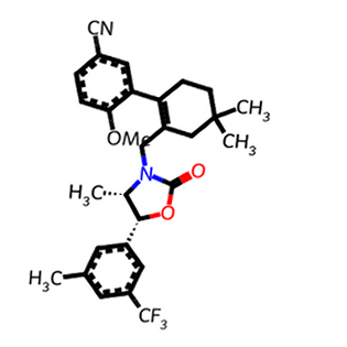 COc1ccc(C#N)cc1C1=C(CN2C(=O)O[C@H](c3cc(C)cc(C(F)(F)F)c3)[C@@H]2C)CC(C)(C)CC1